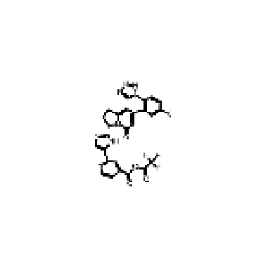 O=C(OC(=O)C(F)(F)F)c1ccnc(-c2cnc([C@@H]3CCc4cc(-c5cc(Cl)ccc5-n5cnnn5)cc(=O)n43)[nH]2)c1